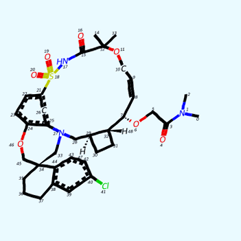 CN(C)C(=O)CO[C@H]1C=CCOC(C)(C)C(=O)NS(=O)(=O)c2ccc3c(c2)N(C[C@@H]2CC[C@H]21)C[C@@]1(CCCc2cc(Cl)ccc21)CO3